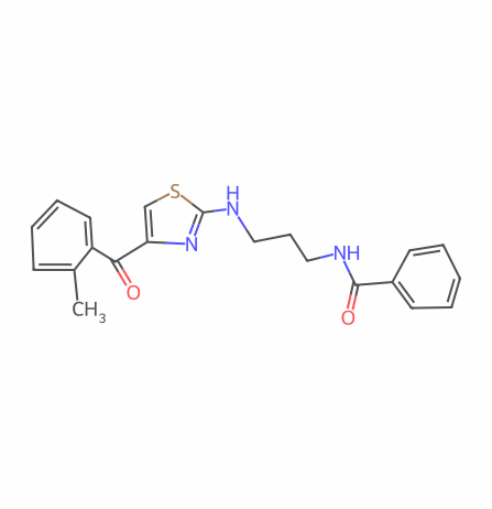 Cc1ccccc1C(=O)c1csc(NCCCNC(=O)c2ccccc2)n1